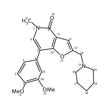 COc1ccc(-c2cn(C)c(=O)c3cc(CN4CCCCC4)oc23)cc1OC